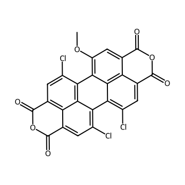 COc1cc2c3c(cc(Cl)c4c5c(Cl)cc6c7c(cc(Cl)c(c1c34)c75)C(=O)OC6=O)C(=O)OC2=O